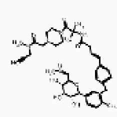 C#CCN(C)C(=O)CN1CCN(C(=O)C(C)(C)NC(=O)C/C=C/c2ccc(Cc3cc([C@@H]4OC(/C=[SH]\C)[C@@H](O)[C@H](O)[C@H]4O)ccc3C)cc2)CC1